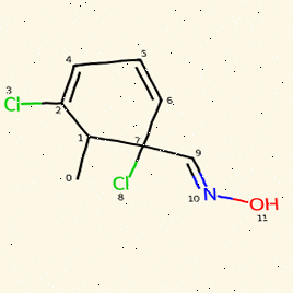 CC1C(Cl)=CC=CC1(Cl)C=NO